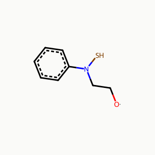 [O]CCN(S)c1ccccc1